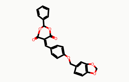 O=C1OC(c2ccccc2)OC(=O)C1=Cc1ccc(OCc2ccc3c(c2)OCO3)cc1